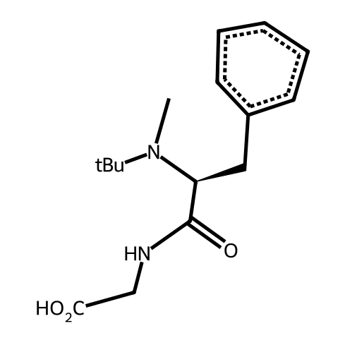 CN([C@@H](Cc1ccccc1)C(=O)NCC(=O)O)C(C)(C)C